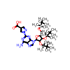 CC(C)(C)[Si](C)(C)OC[C@H]1OC(n2cnc3c(N)nc(-n4cc(C(=O)O)cn4)nc32)C(O[Si](C)(C)C(C)(C)C)C1O[Si](C)(C)C(C)(C)C